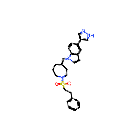 O=S(=O)(CCc1ccccc1)N1CCCC(Cn2ccc3cc(-c4cn[nH]c4)ccc32)CC1